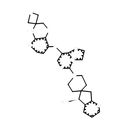 N[C@@H]1c2cccnc2CC12CCN(c1ncc(Sc3ccnc4c3OCC3(COC3)N4)c3nccn13)CC2